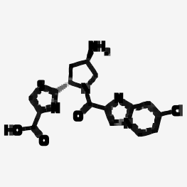 N[C@@H]1C[C@@H](c2nc(C(=O)O)cs2)N(C(=O)c2cn3ccc(Cl)cc3n2)C1